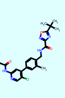 Cc1cc(-c2cc(NC(=O)C3CC3)ncc2Cl)ccc1CNC(=O)c1noc(C(C)(C)C)n1